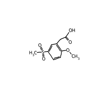 COc1ccc(S(C)(=O)=O)cc1CC(=O)O